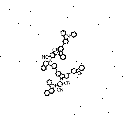 N#Cc1cc(C#N)c(-n2c3ccccc3c3c4ccccc4ccc32)cc1-n1c2ccc(-c3ccc4c(c3)oc3ccccc34)cc2c2cc(-c3ccc4c(c3)c3c5ccccc5ccc3n4-c3cc(-n4c5ccccc5c5cc(-c6ccc7c(c6)c6ccccc6n7-c6ccccc6)ccc54)c(C#N)cc3C#N)ccc21